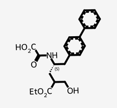 CCOC(=O)C(CO)C[C@@H](Cc1ccc(-c2ccccc2)cc1)NC(=O)C(=O)O